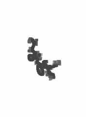 CCCC[S+]([O-])CCC(=O)SC(C)CC